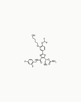 CC(C)(C)C[C@H](OC(N)=O)c1oc(-c2ccc(OC(F)F)c(OCCCCO)c2)nc1C(=O)NCc1ccc(F)cc1F